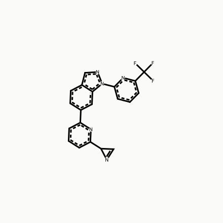 FC(F)(F)c1cccc(-n2ncc3ccc(-c4cccc(C5C=N5)n4)cc32)n1